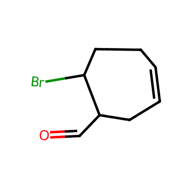 O=CC1CC=CCCC1Br